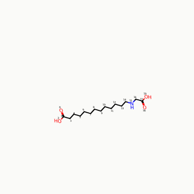 O=C(O)CCCCCCCCCCCCNCC(=O)O